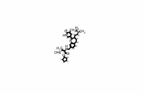 Cc1cc(C2=Nc3cc(CNC(C(=O)OC4CCCC4)[C@@H](C)C=O)ccc3CCC2CCN(C)C)c[nH]c1=O